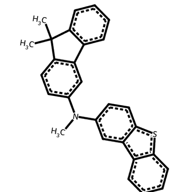 CN(c1ccc2c(c1)-c1ccccc1C2(C)C)c1ccc2sc3ccccc3c2c1